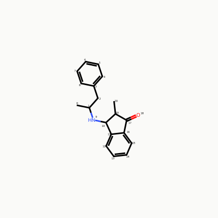 CC(Cc1ccccc1)NC1c2ccccc2C(=O)C1C